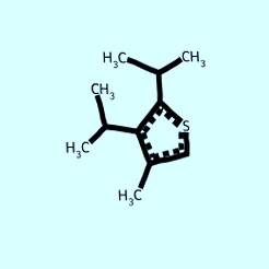 Cc1csc(C(C)C)c1C(C)C